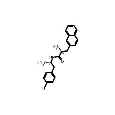 N[C@@H](Cc1ccc2ccccc2c1)C(=O)N[C@H](Cc1ccc(Cl)cc1)C(=O)O